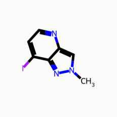 Cn1cc2nccc(I)c2n1